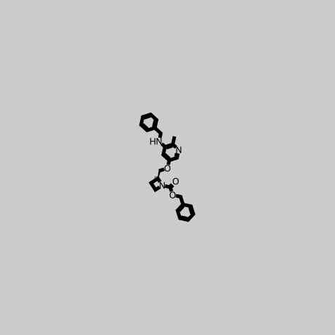 Cc1ncc(OC[C@@H]2CCN2C(=O)OCc2ccccc2)cc1NCc1ccccc1